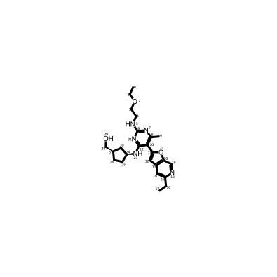 CCOCCNc1nc(C)c(-c2cc3cc(CC)ncc3o2)c(N[C@H]2CC[C@@H](CO)C2)n1